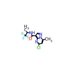 Cc1cc(Cl)nc2c(C(=O)NC(C)C(F)(F)F)cnn12